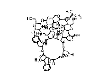 CC(C)=CCCC1OCC2OC(OC3C(CO)OC(Oc4ccc(CC5NC(=O)C(C(C)c6ccccc6)NC(=O)CNC(=O)C(CO)NC(=O)C(C(O)C6CNC(=N)N6C6OC(CO)C(O)C(O)C6O)NC(=O)C(C(O)C6CNC(=N)N6)NC5=O)cc4)C(O)C3O)C(O)C(O)C2O1